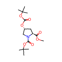 COC(=O)[C@@H]1C[C@@H](OC(=O)OC(C)(C)C)CN1C(=O)OC(C)(C)C